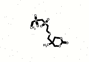 C=CS(=O)(=O)CS(=O)(=O)CCSCC1(C)COC(=O)OC1